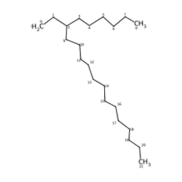 [CH2]CC(CCCCCC)CCCCCCCCCCCCC